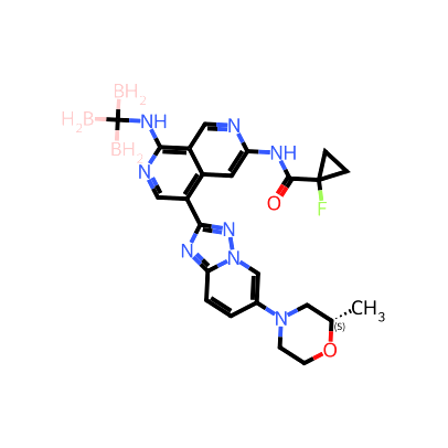 BC(B)(B)Nc1ncc(-c2nc3ccc(N4CCO[C@@H](C)C4)cn3n2)c2cc(NC(=O)C3(F)CC3)ncc12